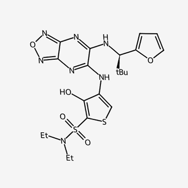 CCN(CC)S(=O)(=O)c1scc(Nc2nc3nonc3nc2N[C@@H](c2ccco2)C(C)(C)C)c1O